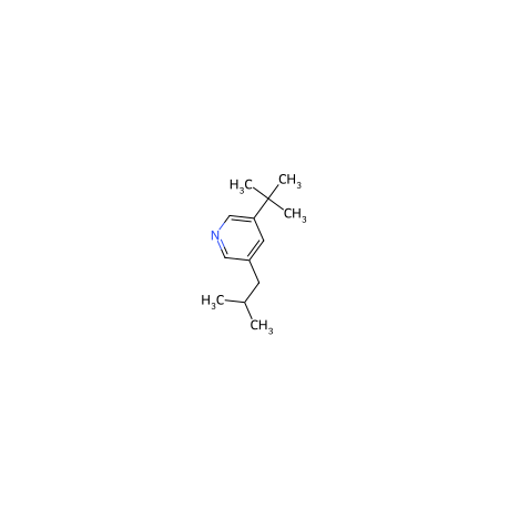 CC(C)Cc1cncc(C(C)(C)C)c1